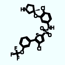 C[C@@]1(Oc2cc(NS(=O)(=O)c3cc(Cl)c(-c4cccc(OC(F)(F)F)c4)s3)ccc2Cl)CCNC1